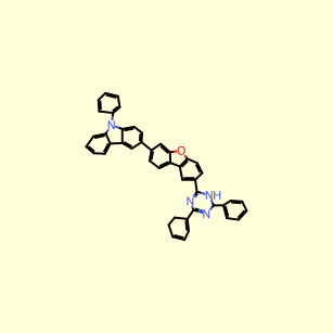 C1=CCCC(C2=NC(c3ccccc3)NC(c3ccc4oc5cc(-c6ccc7c(c6)c6ccccc6n7-c6ccccc6)ccc5c4c3)=N2)=C1